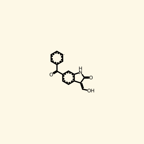 O=C1Nc2cc(C(=O)c3c[c]ccc3)ccc2C1=CO